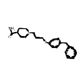 NC(=O)C1CCN(CCCOc2ccc(Cc3ccccc3)cc2)CC1